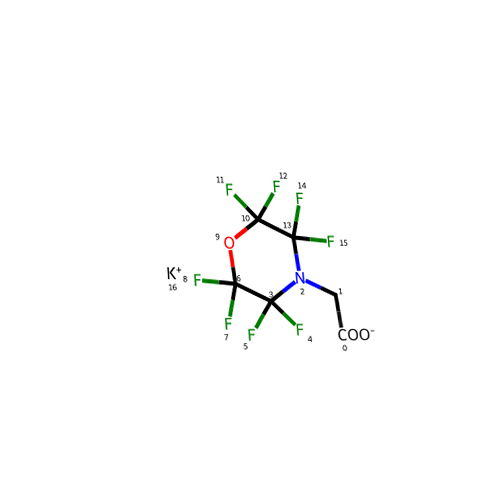 O=C([O-])CN1C(F)(F)C(F)(F)OC(F)(F)C1(F)F.[K+]